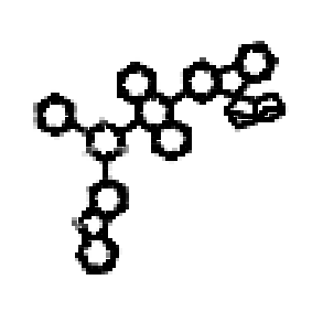 c1ccc(-c2nc(-c3ccc4c(c3)oc3ccccc34)nc(-c3c4ccccc4c(-c4ccc5c(c4)C4(c6ccccc6-5)C5CC6CC(C5)C4C6)c4ccccc34)n2)cc1